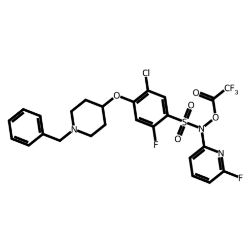 O=C(ON(c1cccc(F)n1)S(=O)(=O)c1cc(Cl)c(OC2CCN(Cc3ccccc3)CC2)cc1F)C(F)(F)F